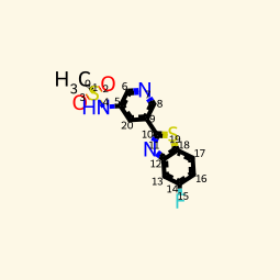 CS(=O)(=O)Nc1cncc(-c2nc3cc(F)ccc3s2)c1